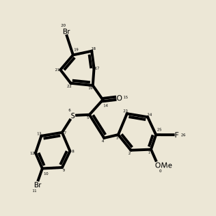 COc1cc(/C=C(/Sc2ccc(Br)cc2)C(=O)c2ccc(Br)cc2)ccc1F